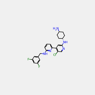 N[C@H]1CC[C@H](Nc2cc(-c3cccc(NCc4cc(F)cc(F)c4)n3)c(Cl)cn2)CC1